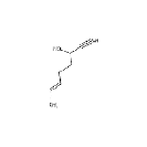 C#CC(O)CCC=CC